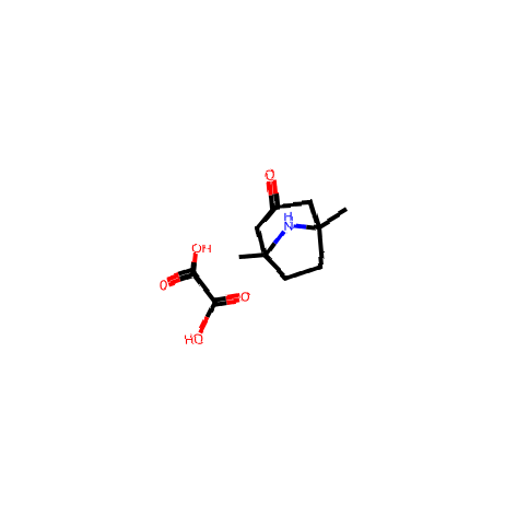 CC12CCC(C)(CC(=O)C1)N2.O=C(O)C(=O)O